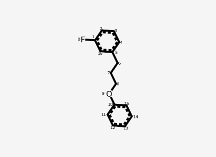 Fc1cccc(CCCOc2cc[c]cc2)c1